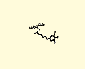 CO[SiH](OC)OC(C)CCCCCc1cc(F)c(F)c(F)c1